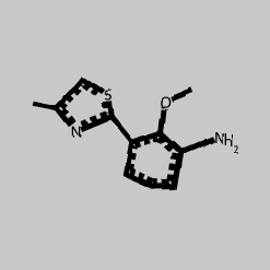 COc1c(N)cccc1-c1nc(C)cs1